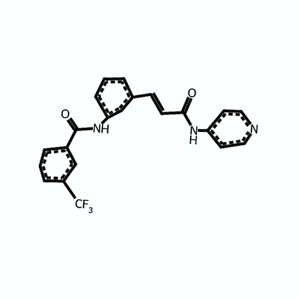 O=C(C=Cc1cccc(NC(=O)c2cccc(C(F)(F)F)c2)c1)Nc1ccncc1